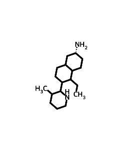 CCC1C2CC[C@@H](N)CC2CCC1C1NCCCC1C